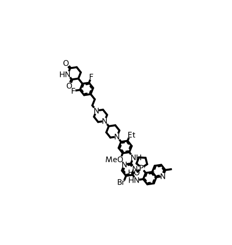 CCc1cc(Nc2ncc(Br)c(Nc3ccc4nc(C)ccc4c3[P]3(O)CCCC3)n2)c(OC)cc1N1CCC(N2CCN(CCc3cc(F)c(C4CCC(=O)NC4=O)c(F)c3)CC2)CC1